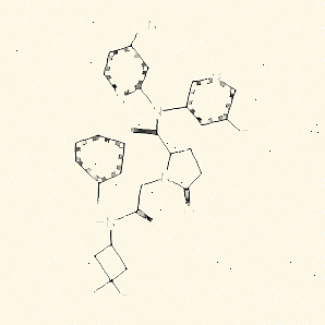 N#Cc1ccnc(N(C(=O)C2CCC(=O)N2[C@H](C(=O)NC2CC(F)(F)C2)c2ccccc2Cl)c2cncc(F)c2)c1